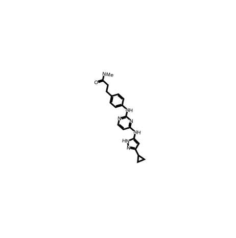 CNC(=O)CCc1ccc(Nc2nccc(Nc3cc(C4CC4)n[nH]3)n2)cc1